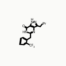 CC(C)Cc1n[nH]c2c(=O)[nH]c(Cc3ccccc3C(F)(F)F)nc12